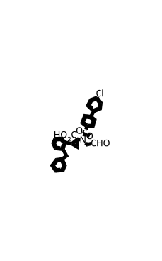 O=CCN(C1(C(=O)O)CC1c1ccccc1Cc1ccccc1)S(=O)(=O)c1ccc(-c2ccc(Cl)cc2)cc1